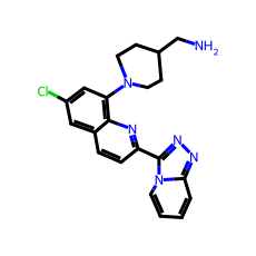 NCC1CCN(c2cc(Cl)cc3ccc(-c4nnc5ccccn45)nc23)CC1